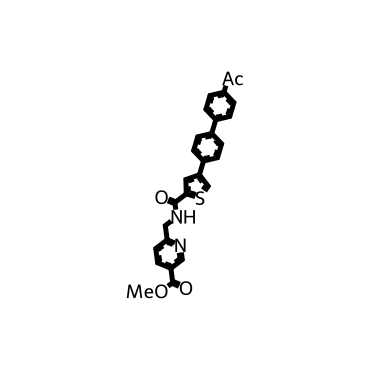 COC(=O)c1ccc(CNC(=O)c2cc(-c3ccc(-c4ccc(C(C)=O)cc4)cc3)cs2)nc1